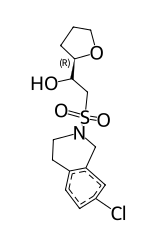 O=S(=O)(CC(O)[C@H]1CCCO1)N1CCc2ccc(Cl)cc2C1